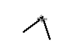 CCCCCCCCCCCCCCCCC(=O)Nc1cscc1NC(=O)CCCCCCCCCCCCCCCC